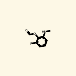 CNc1cccc(F)c1OC=O